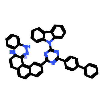 N=C1C=Cc2ccc3ccc(-c4nc(-c5ccc(-c6ccccc6)cc5)nc(-n5c6ccccc6c6ccccc65)n4)cc3c2/C1=N/Nc1ccccc1